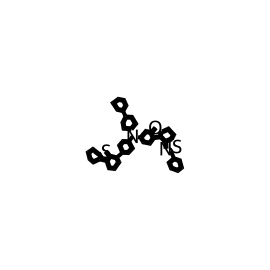 c1ccc(-c2ccc(N(c3ccc(-c4cccc5c4sc4ccccc45)cc3)c3ccc4c(c3)oc3ccc5sc(-c6ccccc6)nc5c34)cc2)cc1